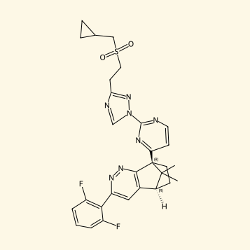 CC1(C)[C@H]2CC[C@@]1(c1ccnc(-n3cnc(CCS(=O)(=O)CC4CC4)n3)n1)c1nnc(-c3c(F)cccc3F)cc12